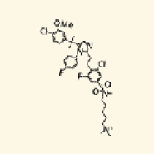 COc1cc(C(C)(C)c2cnc(CCc3c(F)cc(S(=O)(=O)N(C)CCCCC[N+](C)(C)C)cc3Cl)n2-c2ccc(F)cc2)ccc1Cl